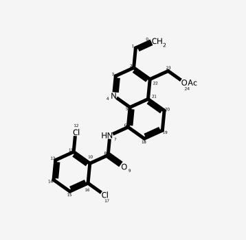 C=Cc1cnc2c(NC(=O)c3c(Cl)cccc3Cl)cccc2c1COC(C)=O